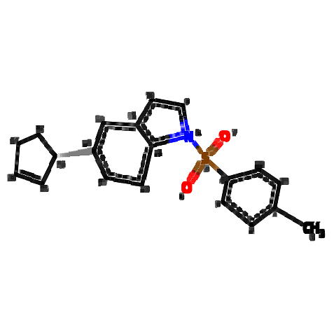 Cc1ccc(S(=O)(=O)n2ccc3cc([C@@H]4C=CCC4)ccc32)cc1